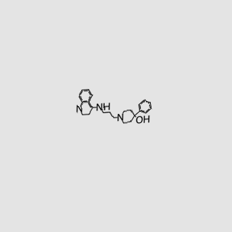 OC1(c2ccccc2)CCN(CCCNC2=c3ccccc3=NCC2)CC1